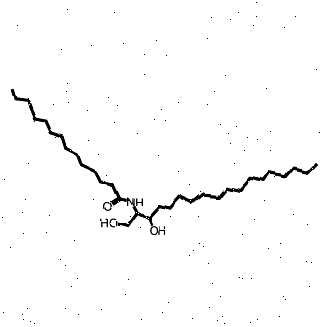 CCCCCCCCCCCCCCCC(O)C(CO)NC(=O)CCCCCCCCCCCCC